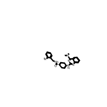 CN(C)c1nc(N[C@H]2CC[C@@H](C(=O)NCc3ccccc3Br)CC2)nc2ccccc12